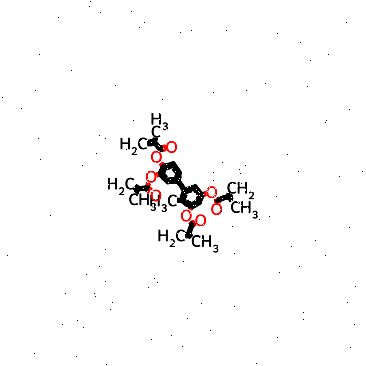 C=C(C)C(=O)Oc1cc(OC(=O)C(=C)C)c(C)c(-c2ccc(OC(=O)C(=C)C)c(OC(=O)C(=C)C)c2)c1